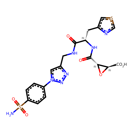 NS(=O)(=O)c1ccc(-n2cc(CNC(=O)[C@H](Cc3cscn3)NC(=O)[C@H]3O[C@@H]3C(=O)O)nn2)cc1